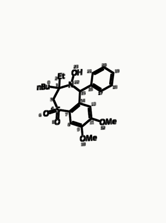 CCCCC1(CC)CS(=O)(=O)c2cc(OC)c(OC)cc2C(c2ccccc2)N1O